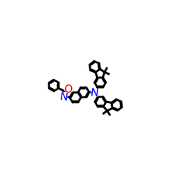 CC1(C)c2ccccc2-c2cc(N(c3ccc4c(c3)-c3ccccc3C4(C)C)c3ccc4c(ccc5nc(-c6ccccc6)oc54)c3)ccc21